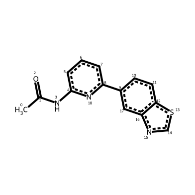 CC(=O)Nc1cccc(-c2ccc3scnc3c2)n1